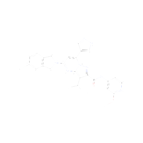 COc1cc(NC(=O)c2nn3c(-c4cn[nH]c4)cc(N4Cc5ccc(F)cc5C4)nc3c2C(C)C)ccn1